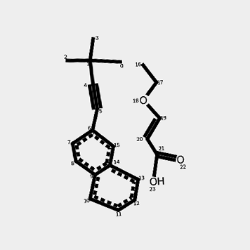 CC(C)(C)C#Cc1ccc2ccccc2c1.CCOC=CC(=O)O